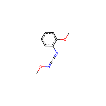 CON=C=Nc1ccccc1OC